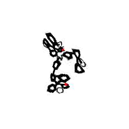 C1=CC2Oc3ccccc3C3(c4ccccc4-c4c(-c5ccc(N(c6ccc(-c7cccc8oc9ccccc9c78)cc6)c6ccc7c(c6)C6(c8ccccc8Oc8ccccc86)c6ccccc6-7)cc5)cccc43)C2C=C1